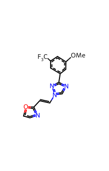 COc1cc(-c2ncn(C=Cc3ncco3)n2)cc(C(F)(F)F)c1